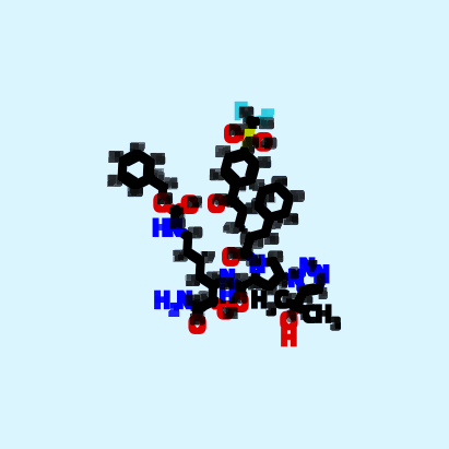 CC(C)(O)c1cnnn1[C@H]1C[C@@H](C(=O)NC(CCCCNC(=O)OCc2ccccc2)C(=O)C(N)=O)N(C(=O)[C@H](CCC(=O)c2ccc(S(=O)(=O)C(F)F)cc2)CC2CCCCC2)C1